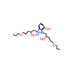 CCCOCCCC(O)CNc1cccc(O)c1NCC(O)CCCOCCC